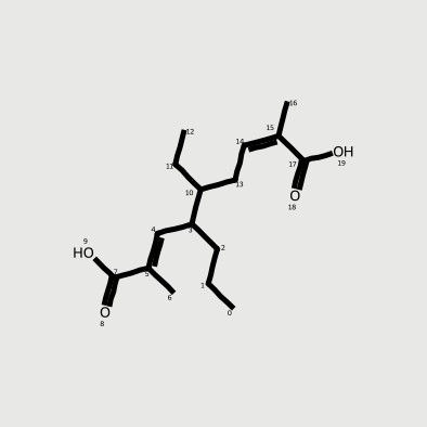 CCCC(C=C(C)C(=O)O)C(CC)CC=C(C)C(=O)O